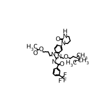 CC(=O)OCCCn1/c(=N/C(=O)c2cccc(C(F)(F)F)c2)n(COCC[Si](C)(C)C)c2cc(N3CCCNC3=O)ccc21